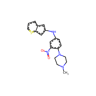 CN1CCN(c2ccc(Nc3cc4cccsc-4c3)cc2[N+](=O)[O-])CC1